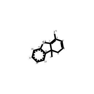 CC12CC=CC(I)=C1Sc1ccccc12